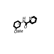 CO[C@H]1CCC[C@H](NC(=O)c2ccccn2)C1